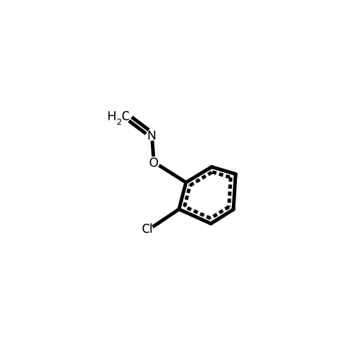 C=NOc1ccccc1Cl